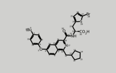 CC(C)(C)c1ccc(Oc2ccc3c(CC4CCCC4)nc(C(=O)N[C@@H](Cc4ccc(Br)s4)C(=O)O)cc3c2)cc1